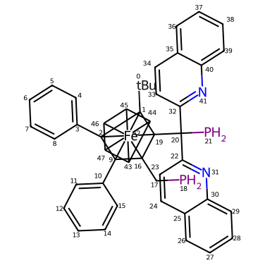 CC(C)(C)[C]12[C]3(c4ccccc4)[C]4(c5ccccc5)[C]5(CP)[C]1(C(P)(c1ccc6ccccc6n1)c1ccc6ccccc6n1)[Fe]54321678[CH]2[CH]1[CH]6[CH]7[CH]28